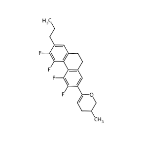 CCCc1cc2c(c(F)c1F)-c1c(cc(C3=CCC(C)CO3)c(F)c1F)CC2